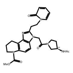 COC(=O)N1CCCc2c1ccc1c2nc(CCn2ccccc2=O)n1CC(=O)N1CC[C@@H](NC(C)=O)C1